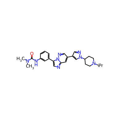 CC(C)N1CCC(n2cc(-c3cnn4c(-c5cccc(NC(=O)N(C)C)c5)cnc4c3)cn2)CC1